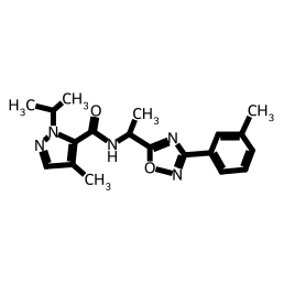 Cc1cccc(-c2noc(C(C)NC(=O)c3c(C)cnn3C(C)C)n2)c1